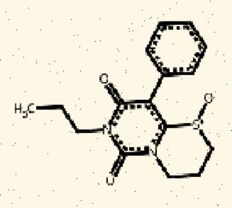 CCCn1c(=O)c(-c2ccccc2)c2n(c1=O)CCC[S+]2[O-]